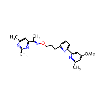 COc1cc(C)nc(-c2cccc(CCCO/N=C(\C)c3cc(C)nc(C)n3)n2)c1